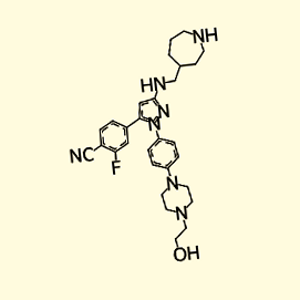 N#Cc1ccc(-c2cc(NCC3CCCNCC3)nn2-c2ccc(N3CCN(CCO)CC3)cc2)cc1F